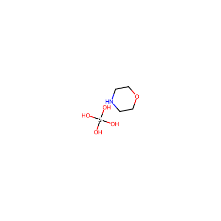 C1COCCN1.O[Si](O)(O)O